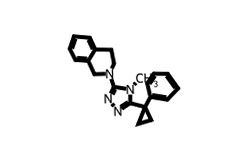 Cn1c(N2CCc3ccccc3C2)nnc1C1(c2ccccc2)CC1